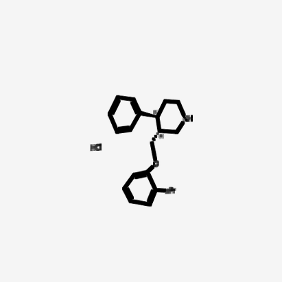 CCCc1ccccc1OC[C@H]1CNCC[C@@H]1c1ccccc1.Cl